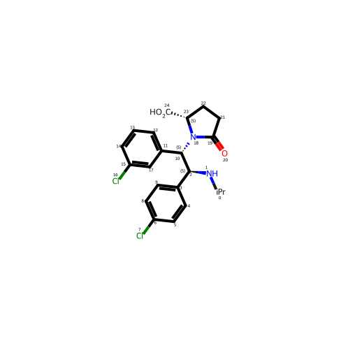 CC(C)N[C@@H](c1ccc(Cl)cc1)[C@H](c1cccc(Cl)c1)N1C(=O)CC[C@H]1C(=O)O